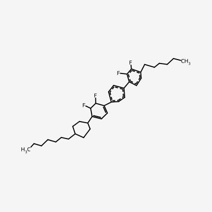 CCCCCCCC1CCC(C2=CC=C(c3ccc(-c4ccc(CCCCCC)c(F)c4F)cc3)C(F)C2F)CC1